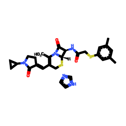 Cc1cc(C)cc(SCC(=O)N[C@@H]2C(=O)N3C(C(=O)O)=C(C=C4CCN(C5CC5)C4=O)CS[C@H]23)c1.c1c[nH]cn1